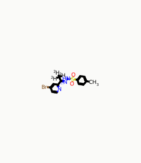 [2H]C([2H])([2H])/C(=N\NS(=O)(=O)c1ccc(C)cc1)c1cc(Br)ccn1